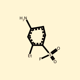 CCc1cc(N)ccc1S(=O)(=O)F